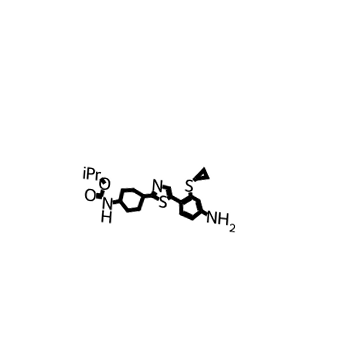 CC(C)OC(=O)NC1CCC(c2ncc(-c3ccc(N)cc3SC3CC3)s2)CC1